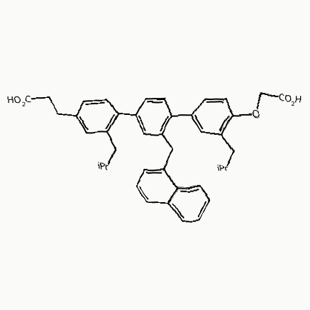 CC(C)Cc1cc(-c2ccc(-c3ccc(CCC(=O)O)cc3CC(C)C)cc2Cc2cccc3ccccc23)ccc1OCC(=O)O